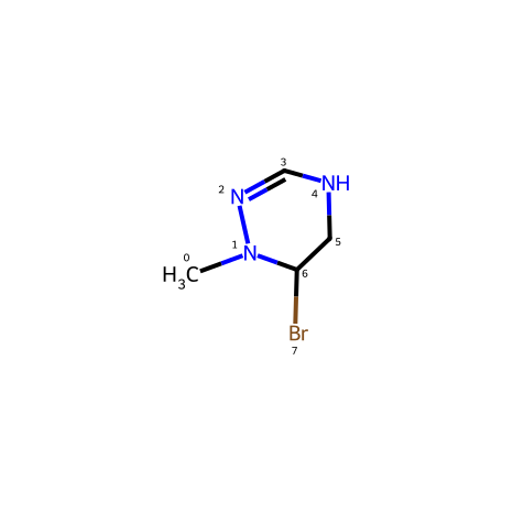 CN1N=CNCC1Br